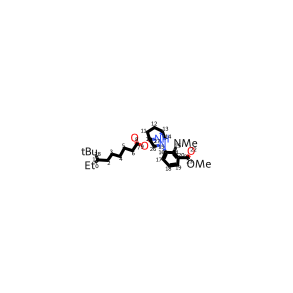 CCC(CCCCCC(=O)OC12CCC(CN(c3cccc(C(=O)OC)c3NC)C1)N2)C(C)(C)C